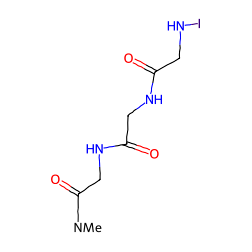 CNC(=O)CNC(=O)CNC(=O)CNI